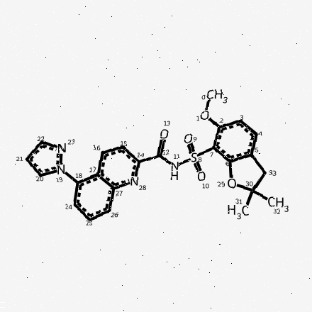 COc1ccc2c(c1S(=O)(=O)NC(=O)c1ccc3c(-n4cccn4)cccc3n1)OC(C)(C)C2